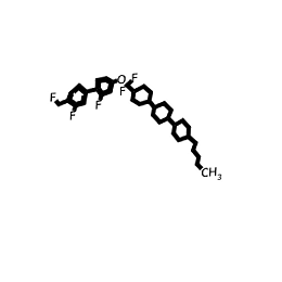 CCCCCC1CCC(C2CCC(C3CCC(C(F)(F)Oc4ccc(-c5ccc(CF)c(F)c5)c(F)c4)CC3)CC2)CC1